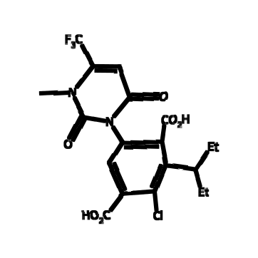 CCC(CC)c1c(Cl)c(C(=O)O)cc(-n2c(=O)cc(C(F)(F)F)n(C)c2=O)c1C(=O)O